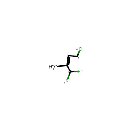 C/C(=C/CCl)C(F)F